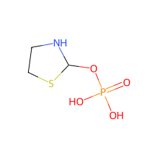 O=P(O)(O)OC1NCCS1